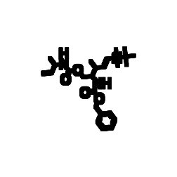 C=CC(C)NC(=O)OCC(NC(=O)OCc1ccccc1)C(C)/C=C/[Si](C)(C)C(C)(C)C